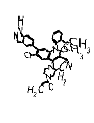 C=CC(=O)N1CCN(c2c(C#N)c(=O)n(-c3ccccc3C(C)C)c3cc(-c4ccc5[nH]ncc5c4)c(Cl)cc23)[C@@H](C)C1